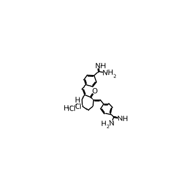 Cl.Cl.N=C(N)c1ccc(C=C2CCCCC(=Cc3ccc(C(=N)N)cc3)C2=O)cc1